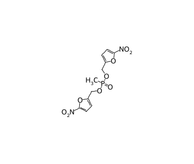 CP(=O)(OCc1ccc([N+](=O)[O-])o1)OCc1ccc([N+](=O)[O-])o1